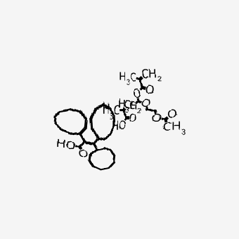 C=C(C)C(=O)O.C=C(C)C(=O)OC(C)OCCOC(C)=O.O=C(O)C(=C(C1CCCCCCCCC1)C1CCCCCCCCC1)C1CCCCCCCCC1